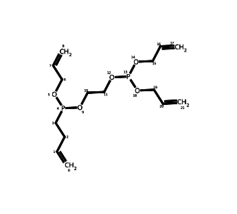 C=CCCP(OCC=C)OCCOP(OCC=C)OCC=C